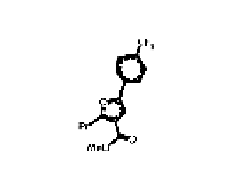 COC(=O)c1cc(-c2ccc(C(F)(F)F)cc2)oc1C(C)C